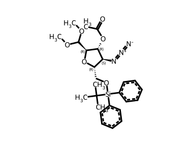 COC(OC)[C@@H]1O[C@@H](CO[Si](c2ccccc2)(c2ccccc2)C(C)(C)C)[C@H](N=[N+]=[N-])[C@H]1OC(C)=O